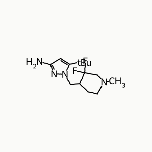 CN1CCC(Cn2nc(N)cc2C(C)(C)C)C(F)(F)C1